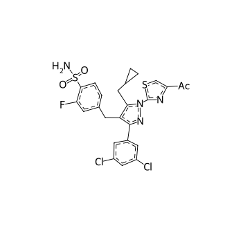 CC(=O)c1csc(-n2nc(-c3cc(Cl)cc(Cl)c3)c(Cc3ccc(S(N)(=O)=O)c(F)c3)c2CC2CC2)n1